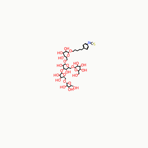 OCC1O[C@@H](OCC2O[C@@H](OCC3O[C@@H](OCCCCCc4ccc(N=C=S)cc4)C(O)C(O)[C@H]3O)C(O)C(O[C@H]3O[C@@H](CO[C@@H]4O[C@@H](CO)C(O)C4O)C(O)C3O)[C@H]2O)C(O)C(O)[C@H]1O